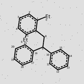 CCc1c[c]cc(CC)c1CC(c1ccccc1)c1ccccc1